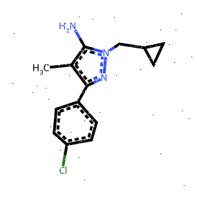 Cc1c(-c2ccc(Cl)cc2)nn(CC2CC2)c1N